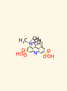 CC[N+](CC)(CC)c1cc(S(=O)(=O)O)cc2nc3cc(S(=O)(=O)O)ccc3c(C)c12